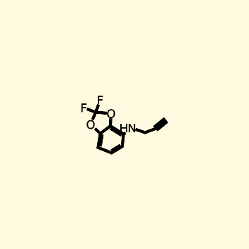 C#CCNc1cccc2c1OC(F)(F)O2